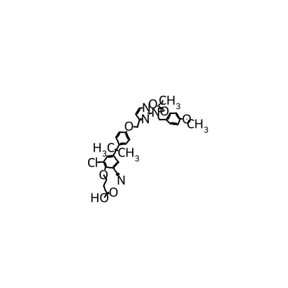 COc1ccc(CN(c2nccc(COc3ccc(C(C)(C)c4cc(Cl)c(OCCC(=O)O)c(C#N)c4)cc3)n2)S(C)(=O)=O)cc1